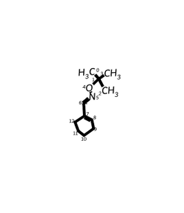 CC(C)(C)O/N=[C]/C1=CCCCC1